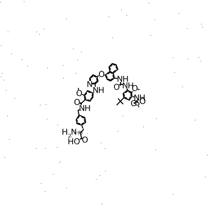 COc1cc(Nc2cc(Oc3ccc(NC(=O)Nc4cc(C(C)(C)C)cc(NS(C)(=O)=O)c4OC)c4ccccc34)ccn2)ccc1C(=O)NCc1ccc(C[C@@H](N)C(=O)O)cc1